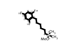 CO[Si](C)(C)CCCCCCc1c(F)cc(F)cc1F